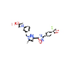 Cc1cc(-c2nc(-c3ccc(C4(F)COC4)cc3)no2)nn1Cc1cccc(N2CC(O)C2)c1